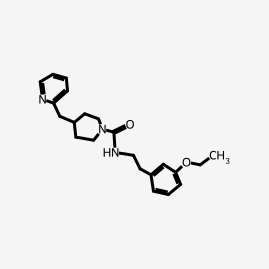 CCOc1cccc(CCNC(=O)N2CCC(Cc3ccccn3)CC2)c1